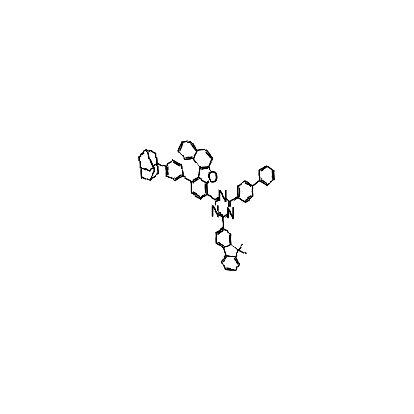 CC1(C)c2ccccc2-c2ccc(-c3nc(-c4ccc(-c5ccccc5)cc4)nc(-c4ccc(-c5ccc(C67CC8CC(CC(C8)C6)C7)cc5)c5c4oc4ccc6ccccc6c45)n3)cc21